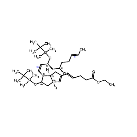 C/C=C/CC[C@@H](C)C[C@@H](/C=C\[C@H]1[C@H]2CC(C=CCCC(=O)OCC)=C[C@H]2C[C@H]1O[Si](C)(C)C(C)(C)C)O[Si](C)(C)C(C)(C)C